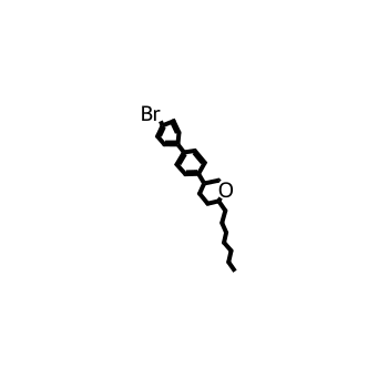 CCCCCCCC1CCC(c2ccc(-c3ccc(Br)cc3)cc2)CO1